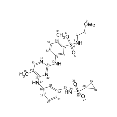 COCCNS(=O)(=O)c1cc(Nc2ncc(C)c(Nc3cccc(CNS(=O)(=O)C4CC4)c3)n2)ccc1C